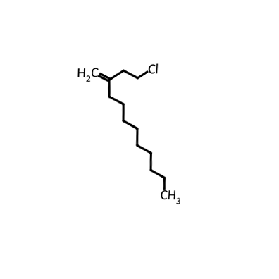 C=C(CCCl)CCCCCCCCC